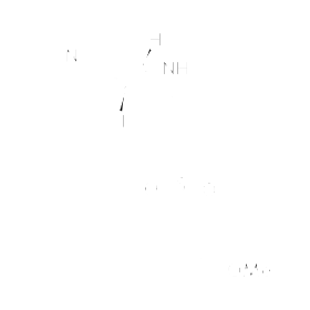 COc1cccc(S(=O)(=O)c2ccc3c(c2)[C@@H]2CCN(C)CC[C@@H]2N3)c1